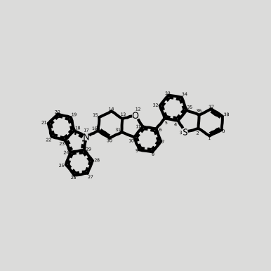 C1=CC2Sc3c(-c4cccc5c4OC4CCC(n6c7ccccc7c7ccccc76)=CC54)cccc3C2C=C1